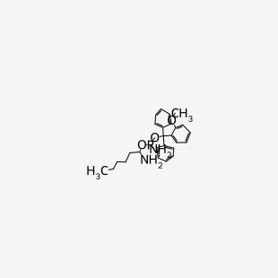 CCCCCC(N)OP(N)OC(c1ccccc1)(c1ccccc1)c1ccccc1OC